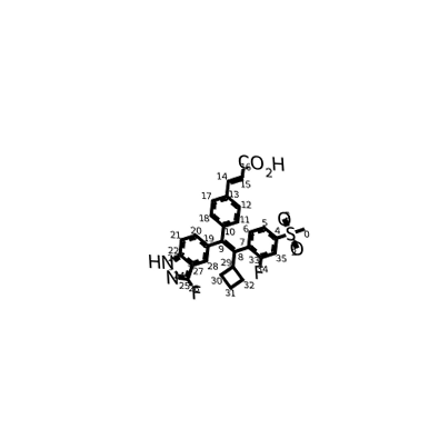 CS(=O)(=O)c1ccc(C(=C(c2ccc(C=CC(=O)O)cc2)c2ccc3[nH]nc(F)c3c2)C2CCC2)c(F)c1